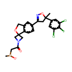 C[S+]([O-])CC(=O)N1CC2(C1)OCc1cc(C3=NOC(C)(c4cc(Cl)c(F)c(Cl)c4)C3)ccc12